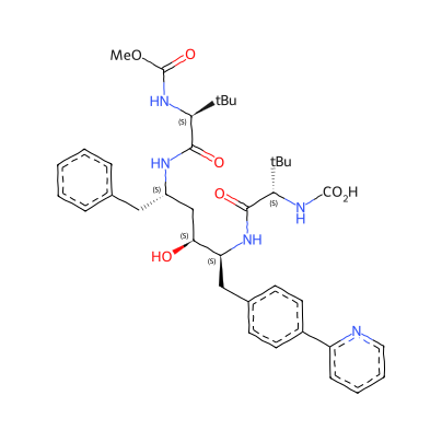 COC(=O)N[C@H](C(=O)N[C@@H](Cc1ccccc1)C[C@H](O)[C@H](Cc1ccc(-c2ccccn2)cc1)NC(=O)[C@@H](NC(=O)O)C(C)(C)C)C(C)(C)C